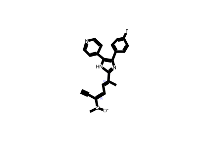 C#C/C(=C\C=C(/C)c1nc(-c2ccc(F)cc2)c(-c2ccncc2)[nH]1)[S+](C)[O-]